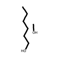 CCCCCCO.CO